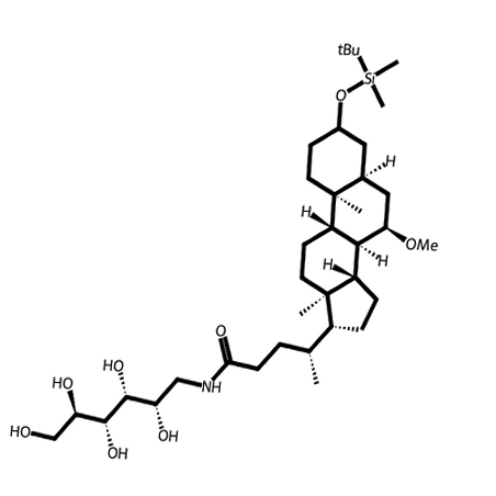 CO[C@@H]1C[C@@H]2CC(O[Si](C)(C)C(C)(C)C)CC[C@]2(C)[C@H]2CC[C@]3(C)[C@@H]([C@H](C)CCC(=O)NC[C@H](O)[C@@H](O)[C@H](O)[C@H](O)CO)CC[C@H]3[C@H]12